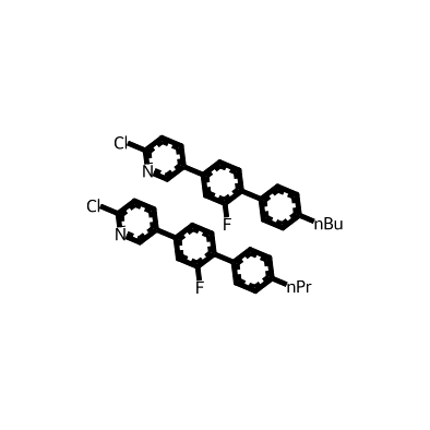 CCCCc1ccc(-c2ccc(-c3ccc(Cl)nc3)cc2F)cc1.CCCc1ccc(-c2ccc(-c3ccc(Cl)nc3)cc2F)cc1